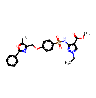 CCn1cc(C(=O)OC)c(NS(=O)(=O)c2ccc(OCc3nc(-c4ccccc4)oc3C)cc2)n1